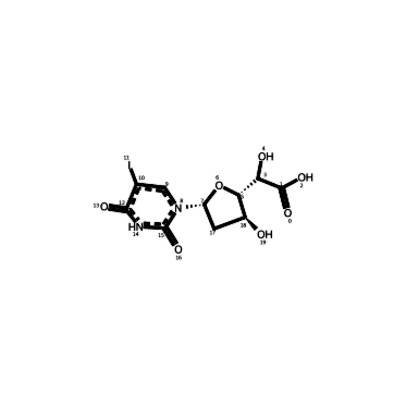 O=C(O)C(O)[C@H]1O[C@@H](n2cc(I)c(=O)[nH]c2=O)C[C@@H]1O